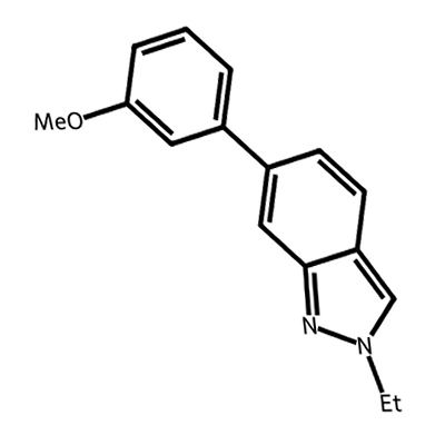 CCn1cc2ccc(-c3cccc(OC)c3)cc2n1